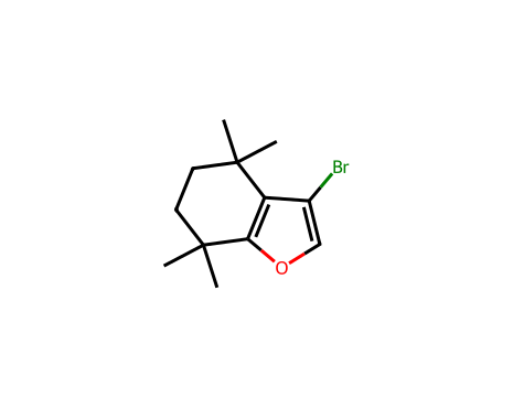 CC1(C)CCC(C)(C)c2c(Br)coc21